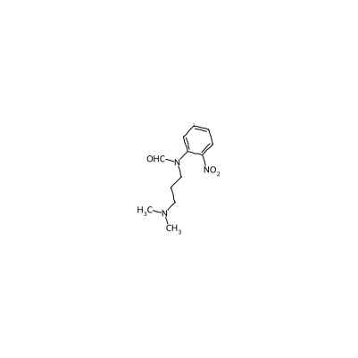 CN(C)CCCN(C=O)c1c[c]ccc1[N+](=O)[O-]